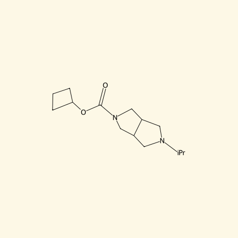 CC(C)N1CC2CN(C(=O)OC3CCC3)CC2C1